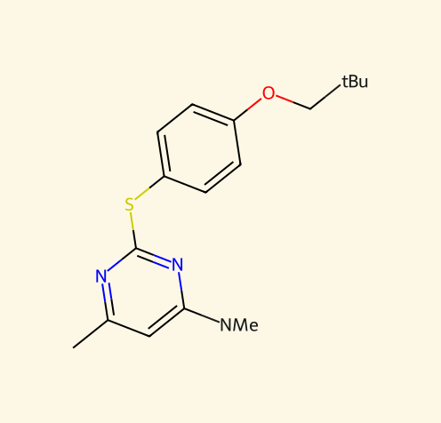 CNc1cc(C)nc(Sc2ccc(OCC(C)(C)C)cc2)n1